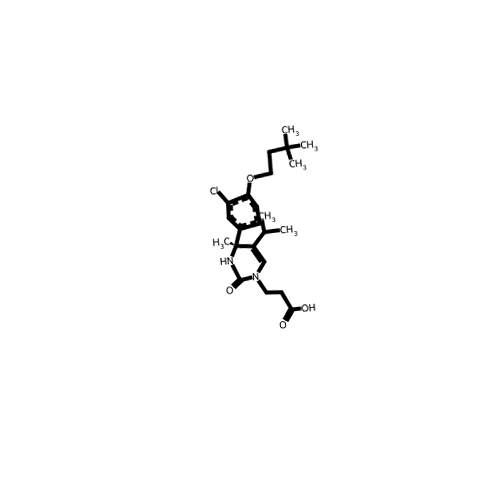 CC(C)C1=CN(CCC(=O)O)C(=O)N[C@@]1(C)c1ccc(OCCC(C)(C)C)c(Cl)c1